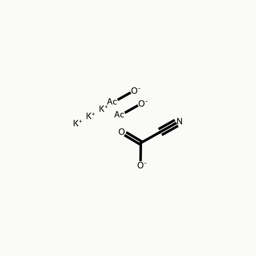 CC(=O)[O-].CC(=O)[O-].N#CC(=O)[O-].[K+].[K+].[K+]